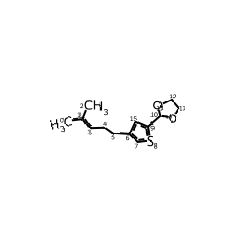 CC(C)=CCCc1csc(C2OCCO2)c1